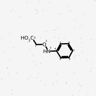 O=C(O)CONc1ccccc1